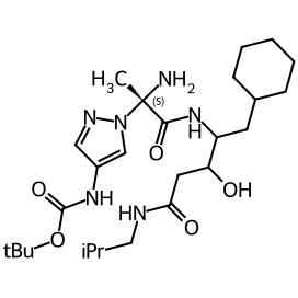 CC(C)CNC(=O)CC(O)C(CC1CCCCC1)NC(=O)[C@@](C)(N)n1cc(NC(=O)OC(C)(C)C)cn1